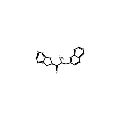 NC(Cc1ccc2ccccc2c1)C(=O)N1Cc2ccccc2C1